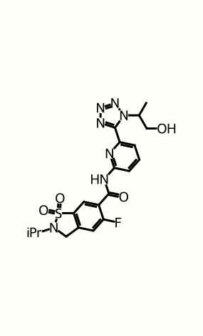 CC(C)N1Cc2cc(F)c(C(=O)Nc3cccc(-c4nnnn4C(C)CO)n3)cc2S1(=O)=O